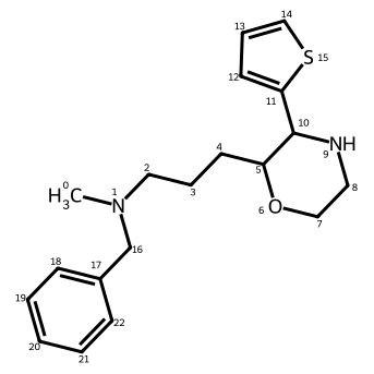 CN(CCCC1OCCNC1c1cccs1)Cc1ccccc1